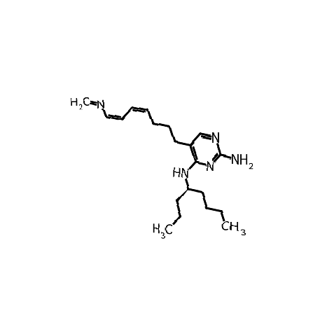 C=N/C=C\C=C/CCCc1cnc(N)nc1N[C@H](CCC)CCCC